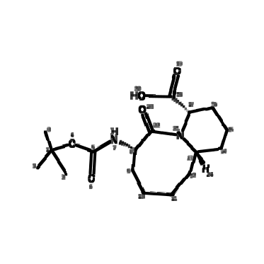 CC(C)(C)OC(=O)N[C@H]1CCCC[C@H]2CCC[C@@H](C(=O)O)N2C1=O